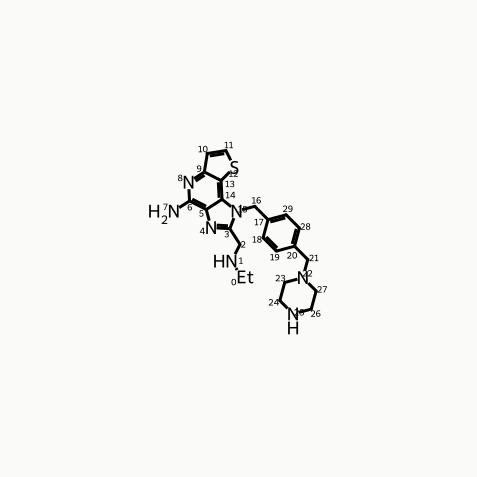 CCNCc1nc2c(N)nc3ccsc3c2n1Cc1ccc(CN2CCNCC2)cc1